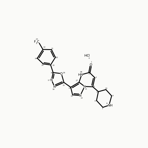 Cl.O=c1cc(C2CCNCC2)n2ncc(-c3nnc(-c4ccc(C(F)(F)F)cc4)o3)c2[nH]1